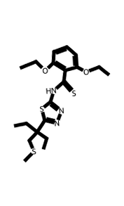 CCOc1cccc(OCC)c1C(=S)Nc1nnc(C(CC)(CC)CSC)s1